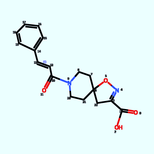 O=C(O)C1=NOC2(CCN(C(=O)/C=C/c3ccccc3)CC2)C1